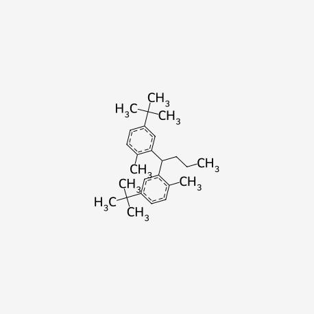 CCCC(c1cc(C(C)(C)C)ccc1C)c1cc(C(C)(C)C)ccc1C